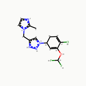 Cc1nccn1Cc1cn(C2C=C(OC(F)F)C(Cl)=CC2)nn1